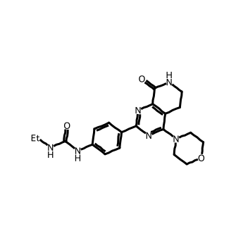 CCNC(=O)Nc1ccc(-c2nc3c(c(N4CCOCC4)n2)CCNC3=O)cc1